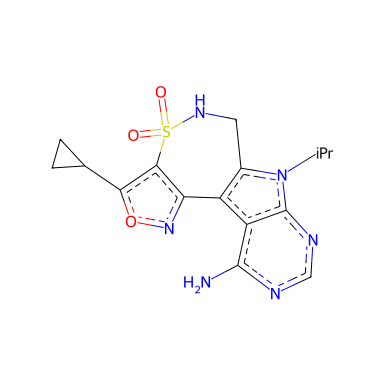 CC(C)n1c2c(c3c(N)ncnc31)-c1noc(C3CC3)c1S(=O)(=O)NC2